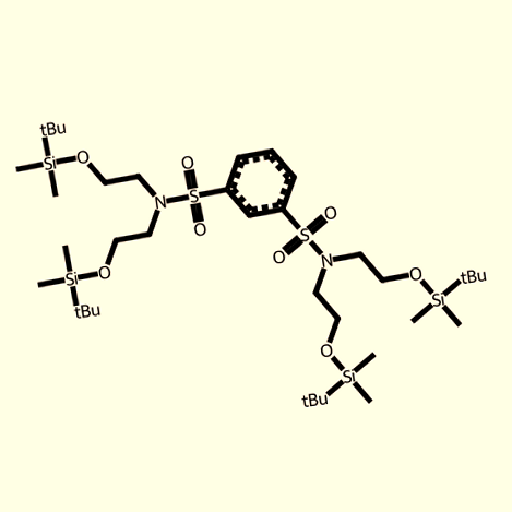 CC(C)(C)[Si](C)(C)OCCN(CCO[Si](C)(C)C(C)(C)C)S(=O)(=O)c1cccc(S(=O)(=O)N(CCO[Si](C)(C)C(C)(C)C)CCO[Si](C)(C)C(C)(C)C)c1